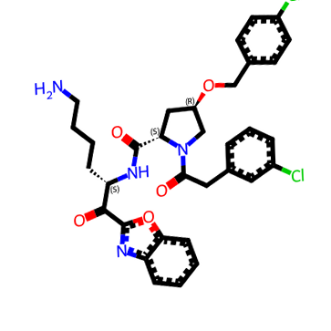 NCCCC[C@H](NC(=O)[C@@H]1C[C@@H](OCc2ccc(Cl)cc2)CN1C(=O)Cc1cccc(Cl)c1)C(=O)c1nc2ccccc2o1